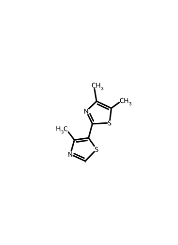 Cc1nc(-c2s[c]nc2C)sc1C